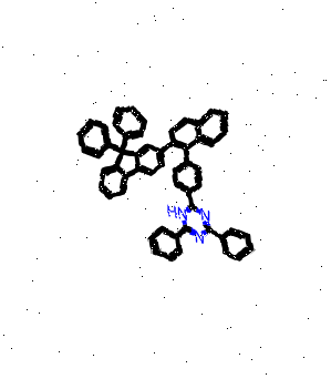 c1ccc(C2=NC(c3ccc(-c4c(-c5ccc6c(c5)C(c5ccccc5)(c5ccccc5)c5ccccc5-6)ccc5ccccc45)cc3)NC(c3ccccc3)=N2)cc1